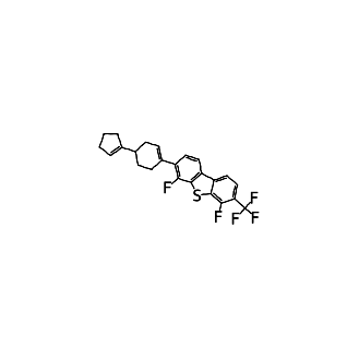 Fc1c(C2=CCC(C3=CCCC3)CC2)ccc2c1sc1c(F)c(C(F)(F)F)ccc12